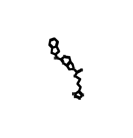 O=C(OCCCc1nnn[nH]1)N1Cc2cnc(NC3Cc4ccccc4C3)nc2C1